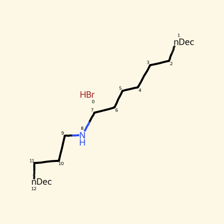 Br.CCCCCCCCCCCCCCCCNCCCCCCCCCCCCC